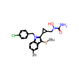 CC(C)c1ccc2c(c1)c(SC(C)(C)C)c(C1CC1CN(O)C(N)=O)n2Cc1ccc(Cl)cc1